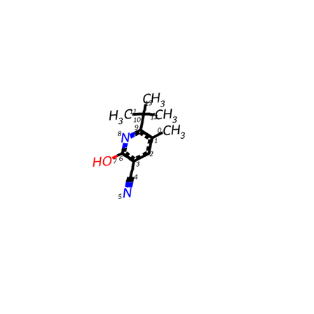 Cc1cc(C#N)c(O)nc1C(C)(C)C